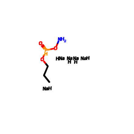 CCCO[PH](=O)ON.[NaH].[NaH].[NaH].[NaH].[NaH]